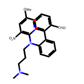 COc1cnc(N(CCCN(C)C)c2ccccc2-c2ccccc2C=O)c([N+](=O)[O-])c1